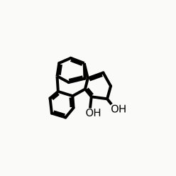 OC1=C2C(=CCC1O)c1ccc(cc1)-c1ccccc12